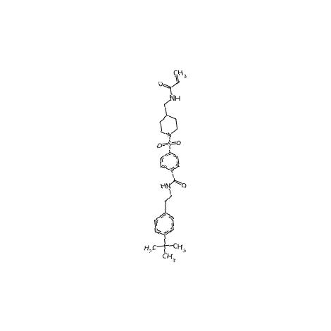 C=CC(=O)NCC1CCN(S(=O)(=O)c2ccc(C(=O)NCCc3ccc(C(C)(C)C)cc3)cc2)CC1